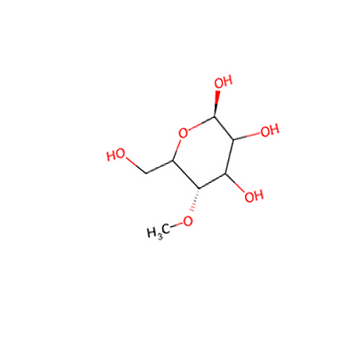 CO[C@@H]1C(CO)O[C@@H](O)C(O)C1O